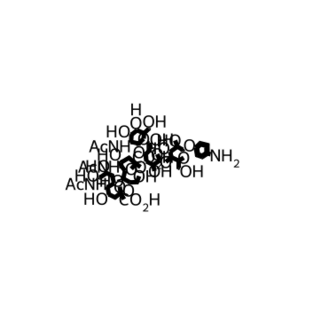 CC(=O)NC1C(O)CC(OC(CO)[C@@H](O)C2OC(OC3C(O)C(OC4C(CO)OC(Oc5ccc(N)cc5)C(O)C4O)OC(CO)C3OC3OC(CO)C(O)C(O)C3NC(C)=O)(C(=O)O)CC(O)C2NC(C)=O)(C(=O)O)OC1C[C@H](O)CO